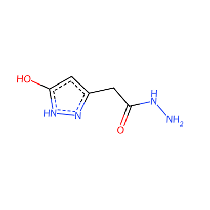 NNC(=O)Cc1cc(O)[nH]n1